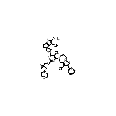 N#Cc1c(N2CCCn3nc(-c4ccccn4)c(Cl)c3C2)nc(OCC2(CN3CCOCC3)CC2)nc1N1CC2(CCc3sc(N)c(C#N)c32)C1